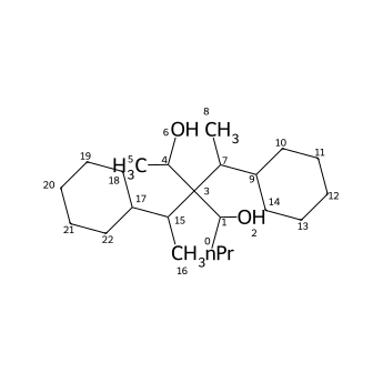 CCCC(O)C(C(C)O)(C(C)C1CCCCC1)C(C)C1CCCCC1